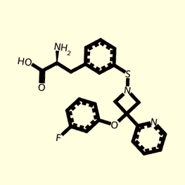 N[C@@H](Cc1cccc(SN2CC(Oc3cccc(F)c3)(c3ccccn3)C2)c1)C(=O)O